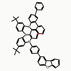 CC(C)(C)c1ccc2c(c1)N(c1ccc(-c3ccc4oc5ccccc5c4c3)cc1)c1cccc3c1B2c1ccc(C(C)(C)C)cc1N3c1ccc(-c2ccccc2)cc1-c1ccccc1